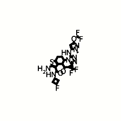 Cn1nc(OC(F)F)cc1Nc1nncn1C1CCc2sc(N)c(C(=O)N[C@H]3C[C@H](F)C3)c2C1C(=O)C1CC1(F)F